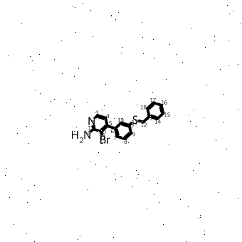 Nc1nccc(-c2cccc(SCc3ccccc3)c2)c1Br